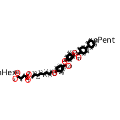 CCCCCCOC(=O)CCC(=O)OCCCCCCCCOc1ccc(C(=O)Oc2ccc(OC(=O)C3CCC(C4CCC(CCCCC)CC4)CC3)cc2)cc1